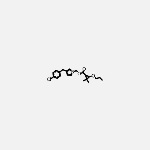 CCCOC1C(C(=O)OCn2ccc(Cc3ccc(Cl)cc3)c2)C1(C)C